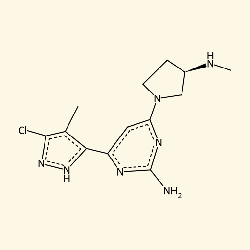 CN[C@@H]1CCN(c2cc(-c3[nH]nc(Cl)c3C)nc(N)n2)C1